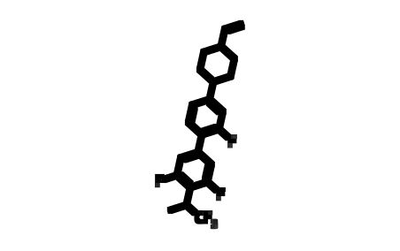 C=CC1CCC(c2ccc(-c3cc(F)c(C(C)C(F)(F)F)c(F)c3)c(F)c2)CC1